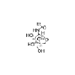 CCC(=O)N[C@H]1[C@H]2OC[C@](CO)(O2)[C@H](O)[C@@H]1O